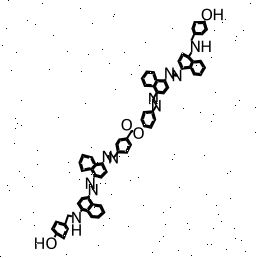 O=C(Oc1ccc(N=Nc2ccc(N=Nc3ccc(NCc4ccc(O)cc4)c4ccccc34)c3ccccc23)cc1)c1ccc(N=Nc2ccc(N=Nc3ccc(NCc4ccc(O)cc4)c4ccccc34)c3ccccc23)cc1